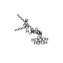 CCCCCCCC(=O)OCC(CSCC(N)C(=O)Nc1cn(CC2OC(O)C(O)C(O)C2O)nn1)OC(=O)CCCCCCC